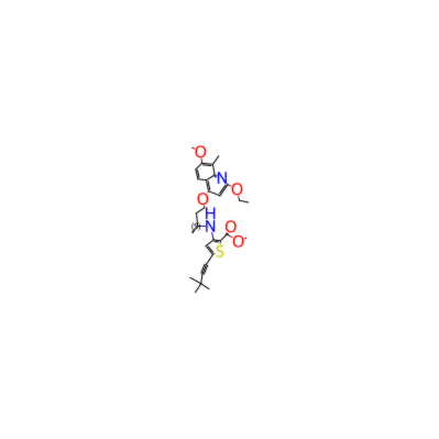 CCOc1cc(OCC[C@H](C)Nc2cc(C#CC(C)(C)C)sc2C(=O)OC)c2ccc(OC)c(C)c2n1